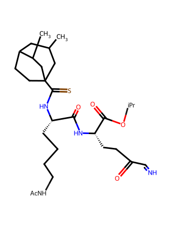 CC(=O)NCCCC[C@H](NC(=S)C12CCC(CC(C)C1)C(C)C2)C(=O)N[C@@H](CCC(=O)C=N)C(=O)OC(C)C